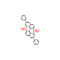 Oc1ccc2cc(-c3ccccc3)ccc2c1-c1c(O)ccc2cc(-c3ccccc3)ccc12